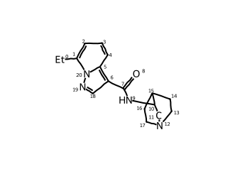 CCc1cccc2c(C(=O)NC3CN4CCC3CC4)cnn12